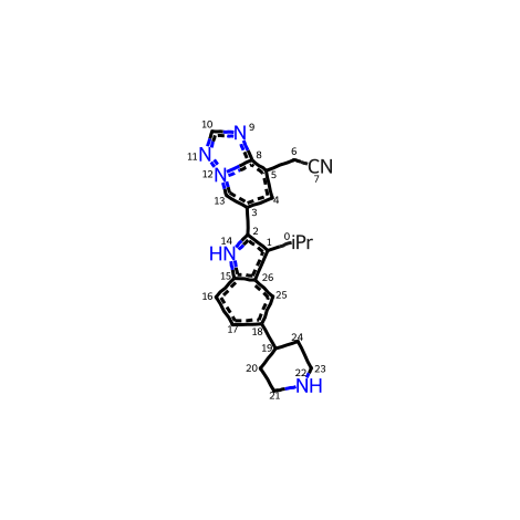 CC(C)c1c(-c2cc(CC#N)c3ncnn3c2)[nH]c2ccc(C3CCNCC3)cc12